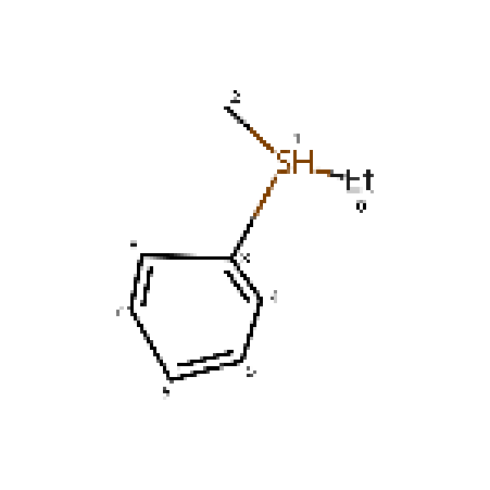 CC[SH](C)c1ccccc1